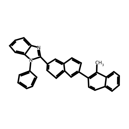 Cc1c(-c2ccc3cc(-c4nc5ccccc5n4-c4ccccc4)ccc3c2)ccc2ccccc12